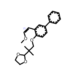 CO/C=C\c1cc(-c2ccccc2)ccc1OCC(C)(C)C1OCCO1